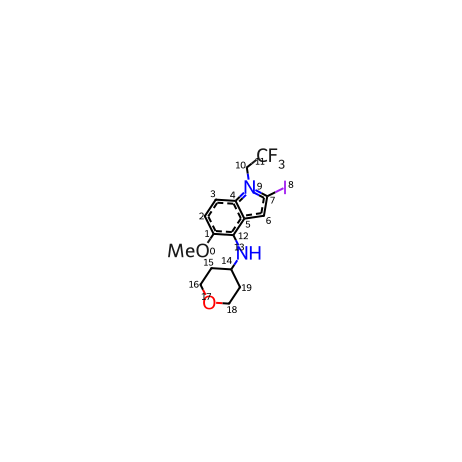 COc1ccc2c(cc(I)n2CC(F)(F)F)c1NC1CCOCC1